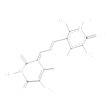 CCCN1C(=O)C(=CC=Cc2c(C)c(C#N)c(=O)n(CCC)c2O)C(C)=C(C#N)C1=O